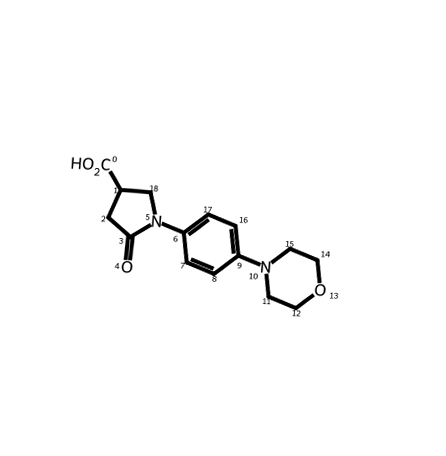 O=C(O)C1CC(=O)N(c2ccc(N3CCOCC3)cc2)C1